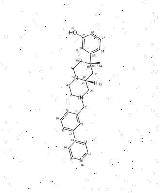 C[C@H]1CN2CCN(Cc3cccc(-c4ccncc4)c3)C[C@H]2C[C@@]1(C)c1cccc(O)c1